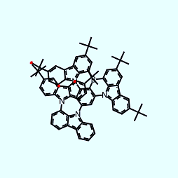 CC(C)(C)C1=Cc2c(n3c4c(cc(C(C)(C)C)cc24)B2c4c-3cc(-n3c5ccccc5c5cccc(-n6c7ccc(C(C)(C)C)cc7c7cc(C(C)(C)C)ccc76)c53)cc4-n3c4ccc(C(C)(C)C)cc4c4cc(C(C)(C)C)cc2c43)CC1